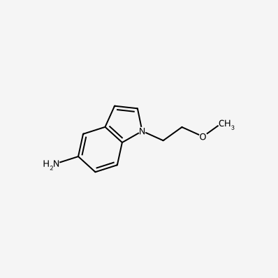 COCCn1ccc2cc(N)ccc21